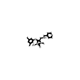 Cc1cc(C)cc(Sc2c(CNCc3ccncc3)n(C)c(=O)n2C(C)C)c1